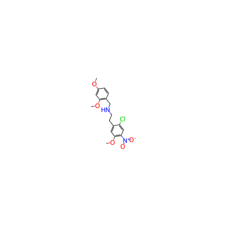 COc1ccc(CNCCc2cc(OC)c([N+](=O)[O-])cc2Cl)c(OC)c1